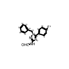 O=CNc1nc(-c2ccc(F)cc2)n(Cc2ccccc2)n1